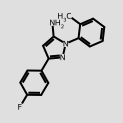 Cc1ccccc1-n1nc(-c2ccc(F)cc2)cc1N